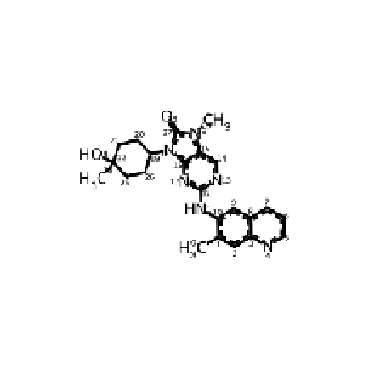 Cc1cc2ncccc2cc1Nc1ncc2c(n1)n(C1CCC(C)(O)CC1)c(=O)n2C